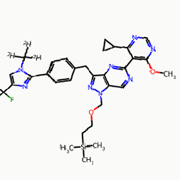 [2H]C([2H])([2H])n1cc(C(F)(F)F)nc1-c1ccc(Cc2nn(COCC[Si](C)(C)C)c3cnc(-c4c(OC)ncnc4C4CC4)nc23)cc1